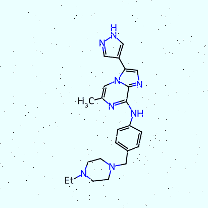 CCN1CCN(Cc2ccc(Nc3nc(C)cn4c(-c5cn[nH]c5)cnc34)cc2)CC1